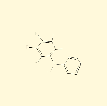 [O-][S+](c1ccccc1)c1c(F)c(F)c(F)c(F)c1F